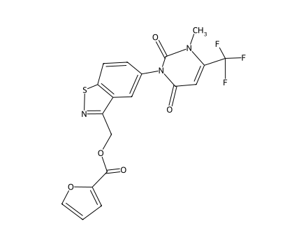 Cn1c(C(F)(F)F)cc(=O)n(-c2ccc3snc(COC(=O)c4ccco4)c3c2)c1=O